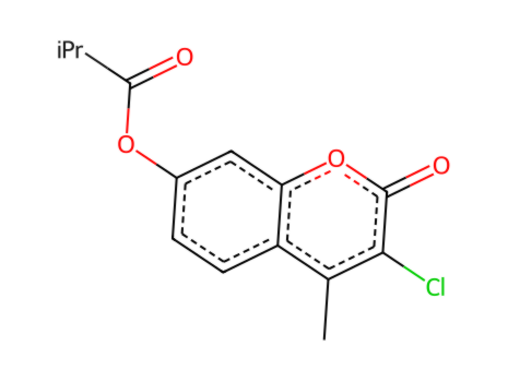 Cc1c(Cl)c(=O)oc2cc(OC(=O)C(C)C)ccc12